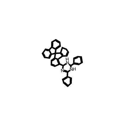 C1=CC2=C(CC1)C1(c3ccccc3-c3ccccc31)c1cccc(C3N=C(c4ccccc4)NC(c4ccccc4)N3)c12